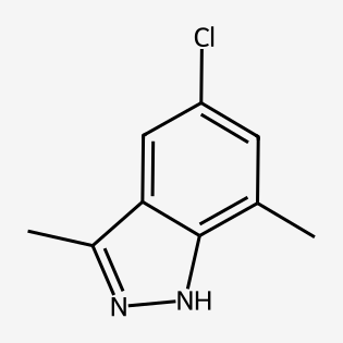 Cc1n[nH]c2c(C)cc(Cl)cc12